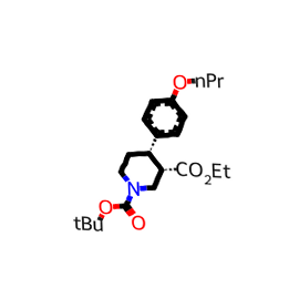 CCCOc1ccc([C@H]2CCN(C(=O)OC(C)(C)C)C[C@H]2C(=O)OCC)cc1